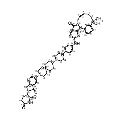 C[C@@]1(O)CC/C=C\Cn2c(=O)c3cnc(Nc4ccc(N5CCN(C6CCC7(CC6)CCN(c6cnc8c(c6)C(=O)N(C6CCC(=O)NC6=O)C8)CC7)CC5)cc4)nc3n2-c2cccc1n2